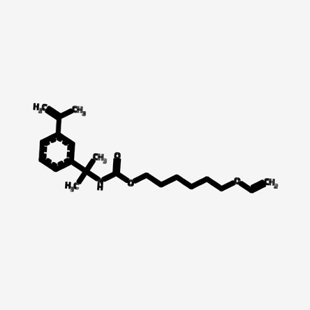 C=COCCCCCCOC(=O)NC(C)(C)c1cccc(C(=C)C)c1